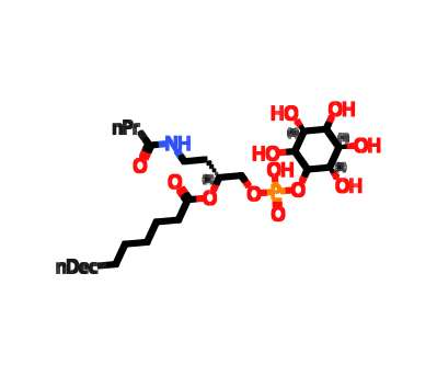 CCCCCCCCCCCCCCCC(=O)O[C@H](CCNC(=O)CCC)COP(=O)(O)OC1C(O)[C@@H](O)C(O)[C@@H](O)[C@H]1O